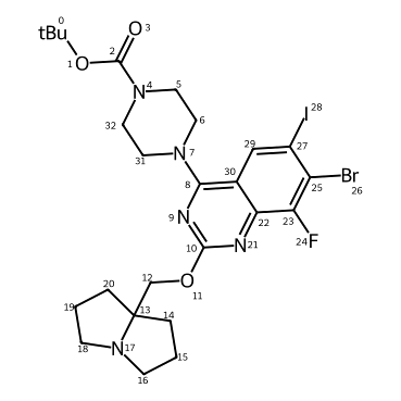 CC(C)(C)OC(=O)N1CCN(c2nc(OCC34CCCN3CCC4)nc3c(F)c(Br)c(I)cc23)CC1